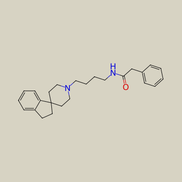 O=C(Cc1ccccc1)NCCCCN1CCC2(CCc3ccccc32)CC1